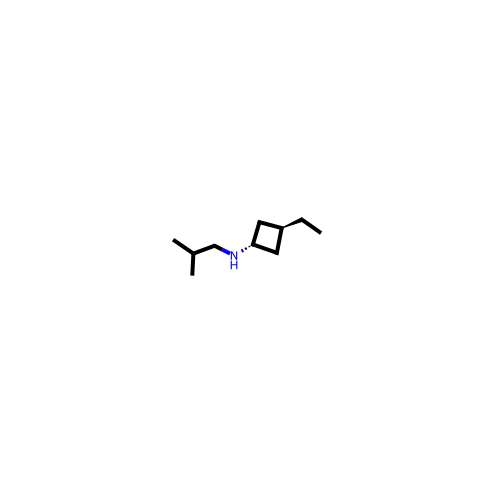 CC[C@H]1C[C@H](NCC(C)C)C1